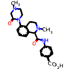 CN1CCN(c2cccc3c2CCN(C)C3C(=O)Nc2ccc(C(=O)O)cc2)C(=O)C1